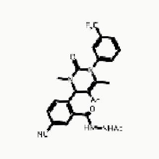 CC(=O)NNC(=O)c1cc(C#N)ccc1C1C(C(C)=O)=C(C)N(c2cccc(C(F)(F)F)c2)C(=O)N1C